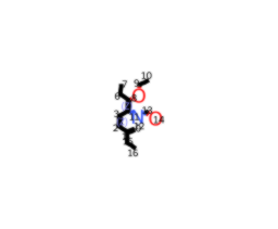 C=C(/C=C\C(=C(/CC)OCC)N(C)C=O)CC